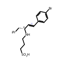 CC(C)C[C@H](/C=C/c1ccc(Br)cc1)NCCCS(=O)(=O)O